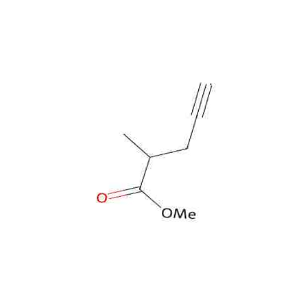 [C]#CCC(C)C(=O)OC